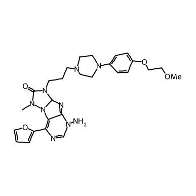 COCCOc1ccc(N2CCN(CCCN3C(=O)N(C)N4C5=C(c6ccco6)N=CN(N)C5=NC34)CC2)cc1